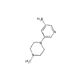 Bc1cncc(N2CCN(C)CC2)c1